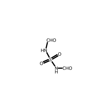 O=CNS(=O)(=O)NC=O